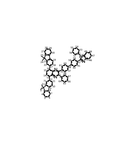 CC1(C)c2ccccc2-c2ccc(-c3ccc(-c4ccc5c(c4)C(C)(C)c4ccccc4-5)c4nc(-c5ccc(-c6ccc(-c7nc8ccccc8n7-c7ccccc7)cc6)cc5)c(-c5ccccc5)nc34)cc21